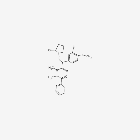 CSc1ccc(C(CC2CCCC2=O)C(=O)N(C)C(C)C(=O)c2ccccc2)cc1Cl